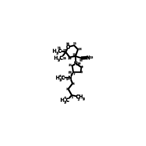 CC(C)CCN(C)[C@@H]1CCN(C2(C#N)CCOC(C)(C)C2)C1